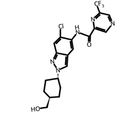 O=C(Nc1cc2cn([C@H]3CC[C@H](CO)CC3)nc2cc1Cl)c1cncc(C(F)(F)F)n1